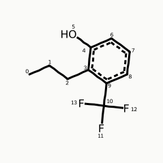 CCCc1c(O)cccc1C(F)(F)F